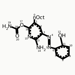 CCCCCCCCc1cc(N=Nc2ccccc2O)c(N)nc1OC(N)=O